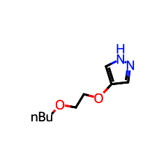 CCCCOCCOc1cn[nH]c1